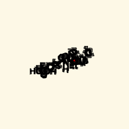 CCC(CC)[C@H](NC(=O)c1cc2cc(C(F)(F)P(=O)(O)O)ccc2s1)C(=O)N1CCC[C@H]1C(=O)N1CCO[C@@H](c2ccccc2)C1